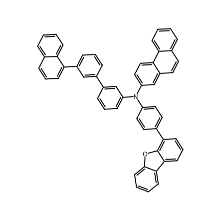 c1cc(-c2cccc(N(c3ccc(-c4cccc5c4oc4ccccc45)cc3)c3ccc4c(ccc5ccccc54)c3)c2)cc(-c2cccc3ccccc23)c1